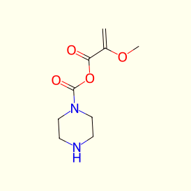 C=C(OC)C(=O)OC(=O)N1CCNCC1